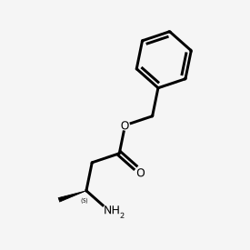 C[C@H](N)CC(=O)OCc1ccccc1